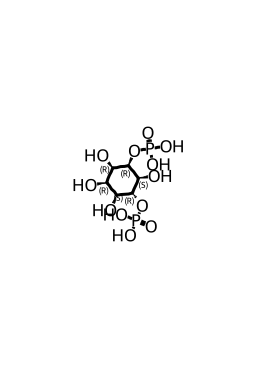 O=P(O)(O)O[C@H]1[C@@H](O)[C@H](OP(=O)(O)O)[C@@H](O)[C@@H](O)[C@H]1O